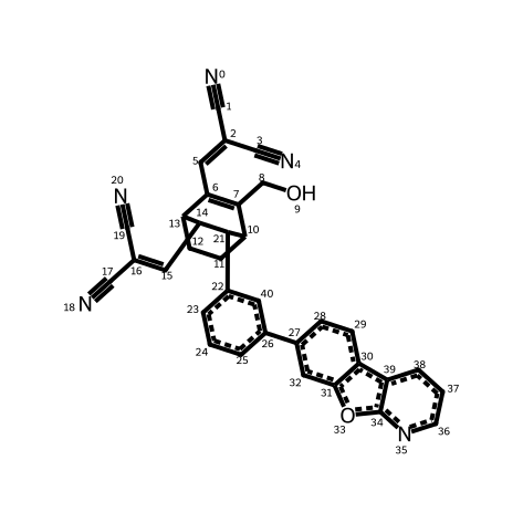 N#CC(C#N)=CC1=C(CO)C2CCC1C(C=C(C#N)C#N)C2c1cccc(-c2ccc3c(c2)oc2ncccc23)c1